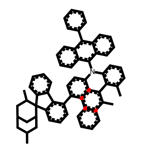 Cc1ccccc1-c1c(C)cccc1N(c1ccc(-c2cccc3c2-c2ccccc2C32C(C)CC3CC(C)CC2C3)c(-c2ccccc2)c1)c1c2ccccc2c(-c2ccccc2)c2ccccc12